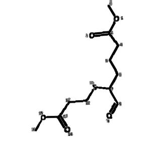 COC(=O)CCCC(C=O)SCCC(=O)OC